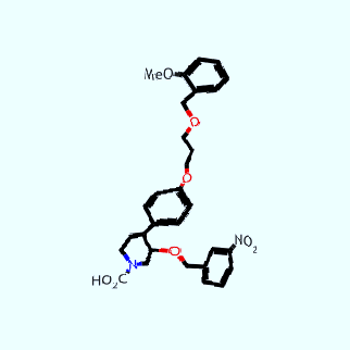 COc1ccccc1COCCCOc1ccc(C2CCN(C(=O)O)CC2OCc2cccc([N+](=O)[O-])c2)cc1